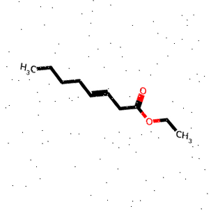 CCCCC=CCC(=O)OCC